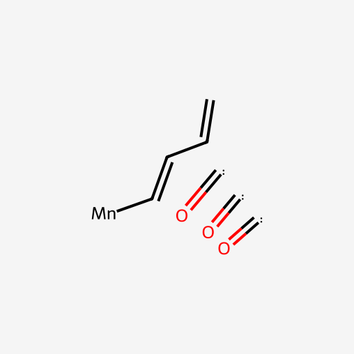 C=CC=[CH][Mn].[C]=O.[C]=O.[C]=O